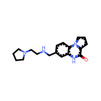 O=c1[nH]c2cc(CNCCN3CCCC3)ccc2n2cccc12